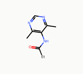 CCC(=O)Nc1c(C)ncnc1C